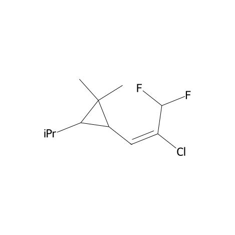 CC(C)C1C(/C=C(/Cl)C(F)F)C1(C)C